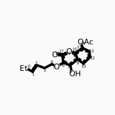 CCC=CCCOc1c(O)c2cccc(OC(C)=O)c2oc1=O